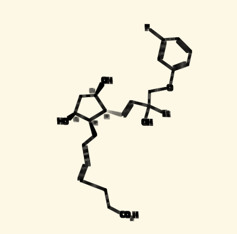 CCC(O)(C=C[C@@H]1[C@@H](CC=C=CCCC(=O)O)[C@@H](O)C[C@H]1O)COc1cccc(F)c1